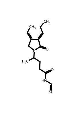 C/C=C1/CN(C(C)CCC(=O)NC=O)C(=O)/C1=C/CC